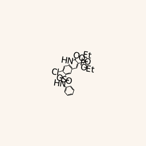 CCOP(=O)(OCC)c1cc2cc(S(=O)(=O)Nc3ccccc3)c(Cl)cc2[nH]c1=O